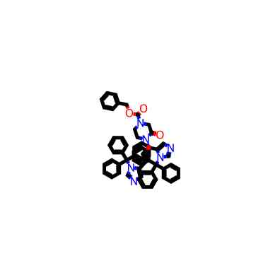 O=C(OCc1ccccc1)N1CCN(C(C=Cc2cncn2C(c2ccccc2)(c2ccccc2)c2ccccc2)c2cncn2C(c2ccccc2)(c2ccccc2)c2ccccc2)C(=O)C1